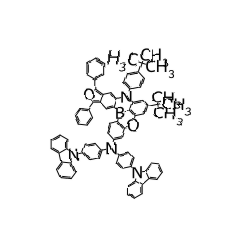 CC(C)(C)c1ccc(N2c3cc4c(-c5ccccc5)oc(-c5ccccc5)c4cc3B3c4ccc(N(c5ccc(-n6c7ccccc7c7ccccc76)cc5)c5ccc(-n6c7ccccc7c7ccccc76)cc5)cc4Oc4cc(C(C)(C)C)cc2c43)cc1